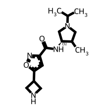 CC1CN(C(C)C)C[C@H]1NC(=O)c1cc(C2CNC2)on1